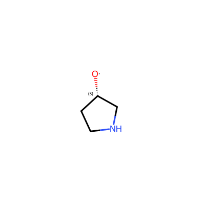 [O][C@H]1CCNC1